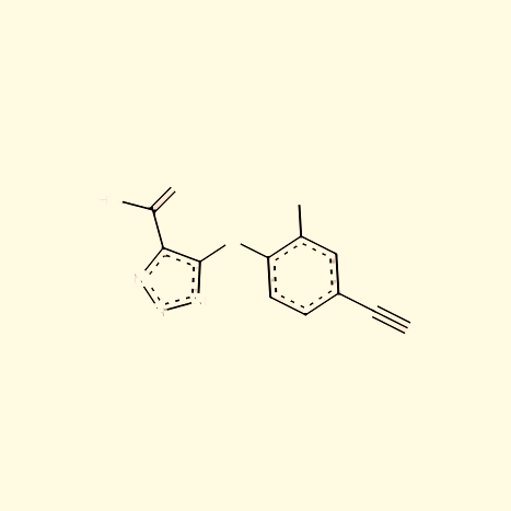 C#Cc1ccc(Oc2[nH]nnc2C(=O)O)c(F)c1